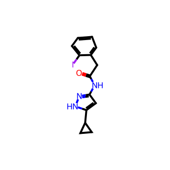 O=C(Cc1ccccc1I)Nc1cc(C2CC2)[nH]n1